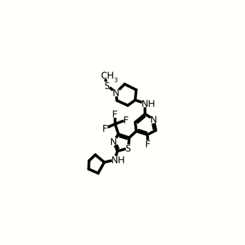 CSN1CCC(Nc2cc(-c3sc(NC4CCCC4)nc3C(F)(F)F)c(F)cn2)CC1